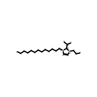 CCCCCCCCCCCCCN1C=CN(CCC)C1C(C)C